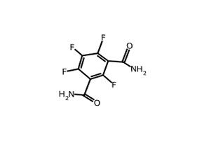 NC(=O)c1c(F)c(F)c(F)c(C(N)=O)c1F